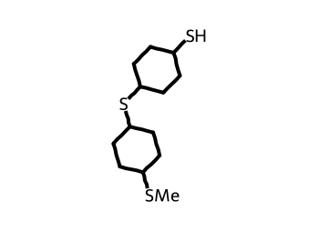 CSC1CCC(SC2CCC(S)CC2)CC1